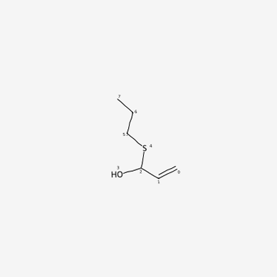 C=CC(O)S[CH]CC